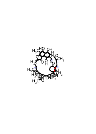 CO[C@H]1/C=C/O[C@@]2(C)Oc3c(C)c(O)c4c(O)c(c(/C=N/OC5CCCCC5)c(O)c4c3C2=O)NC(=O)/C(C)=C\C=C\[C@H](C)[C@H](O)[C@@H](C)[C@@H](O)[C@@H](C)[C@H](OC(C)=O)[C@@H]1C